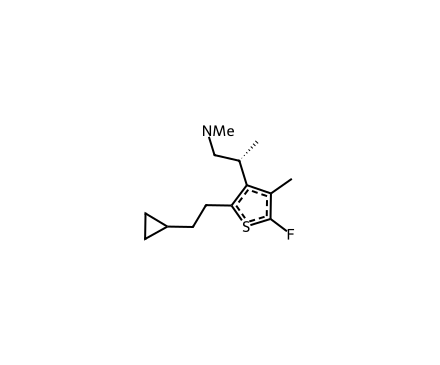 CNC[C@H](C)c1c(CCC2CC2)sc(F)c1C